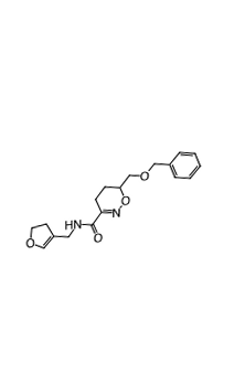 O=C(NCC1=COCC1)C1=NOC(COCc2ccccc2)CC1